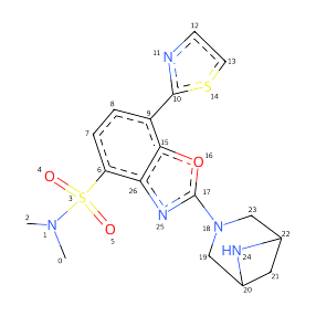 CN(C)S(=O)(=O)c1ccc(-c2nccs2)c2oc(N3CC4CC(C3)N4)nc12